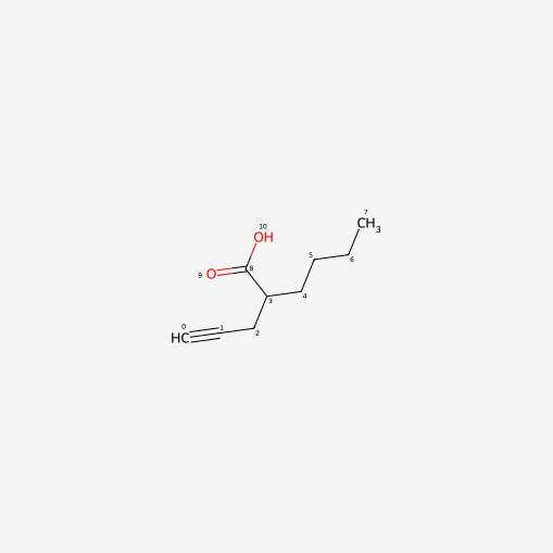 C#CCC(CCCC)C(=O)O